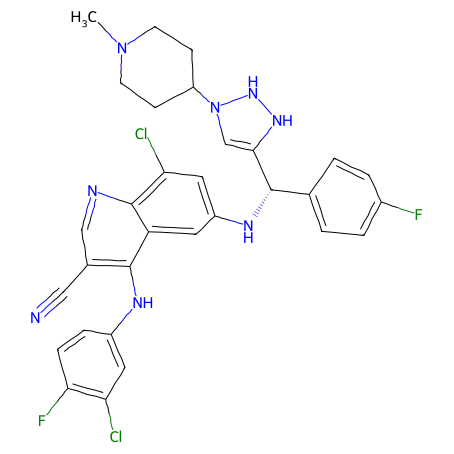 CN1CCC(N2C=C([C@@H](Nc3cc(Cl)c4ncc(C#N)c(Nc5ccc(F)c(Cl)c5)c4c3)c3ccc(F)cc3)NN2)CC1